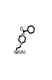 CC(=O)NCCN1CCN(C(=O)C2CCCCC2)CC1